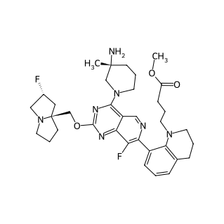 COC(=O)CCCN1CCCc2cccc(-c3ncc4c(N5CCC[C@@](C)(N)C5)nc(OC[C@@]56CCCN5C[C@H](F)C6)nc4c3F)c21